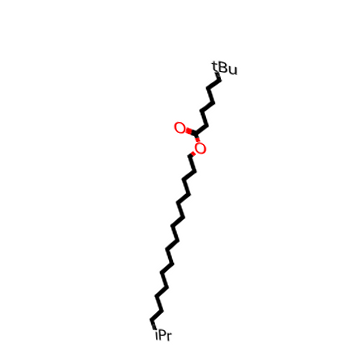 CC(C)CCCCCCCCCCCCCCCOC(=O)CCCCCC(C)(C)C